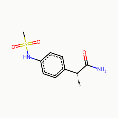 C[C@@H](C(N)=O)c1ccc(NS(C)(=O)=O)cc1